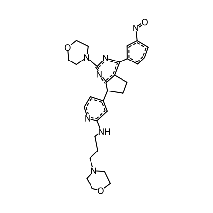 O=Nc1cccc(-c2nc(N3CCOCC3)nc3c2CCC3c2ccnc(NCCCN3CCOCC3)c2)c1